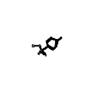 CCOS(=O)(=S)c1ccc(C)cc1